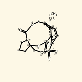 C.C.O=C1OCc2ccc3c(c2)S(=O)(=O)OC2(CCCN12)COS3(=O)=O